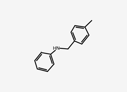 Cc1ccc(CNc2[c]cccc2)cc1